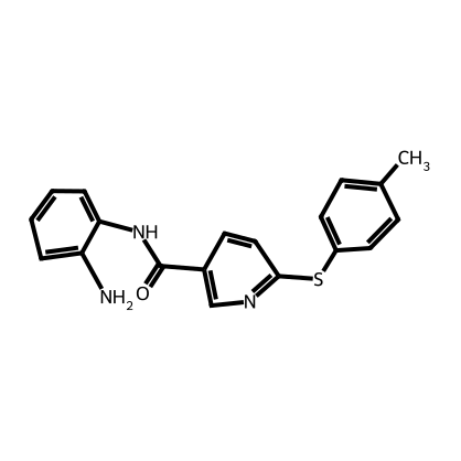 Cc1ccc(Sc2ccc(C(=O)Nc3ccccc3N)cn2)cc1